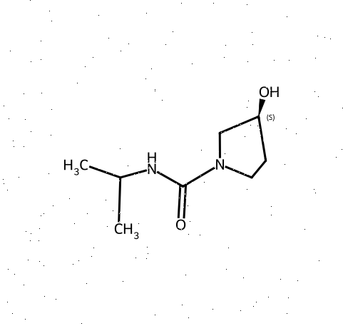 CC(C)NC(=O)N1CC[C@H](O)C1